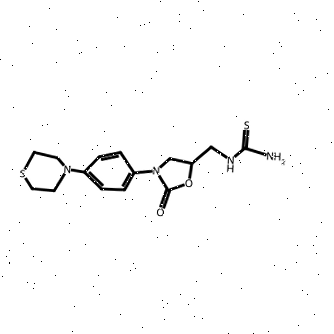 NC(=S)NCC1CN(c2ccc(N3CCSCC3)cc2)C(=O)O1